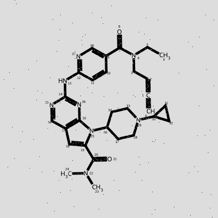 C=C=CCN(CC)C(=O)c1ccc(Nc2ncc3cc(C(=O)N(C)C)n(C4CCN(C5CC5)CC4)c3n2)nc1